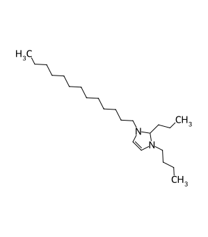 CCCCCCCCCCCCCN1C=CN(CCCC)C1CCC